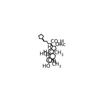 CC(=O)O[C@H]1C[C@@]2(C)[C@@H](C[C@@H](O)[C@H]3[C@@]4(C)CC[C@@H](O)[C@@H](C)[C@@H]4CC[C@@]32C)/C1=C(\CCC=C1CCCC1)C(=O)O